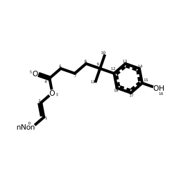 CCCCCCCCCC=COC(=O)CCCC(C)(C)c1ccc(O)cc1